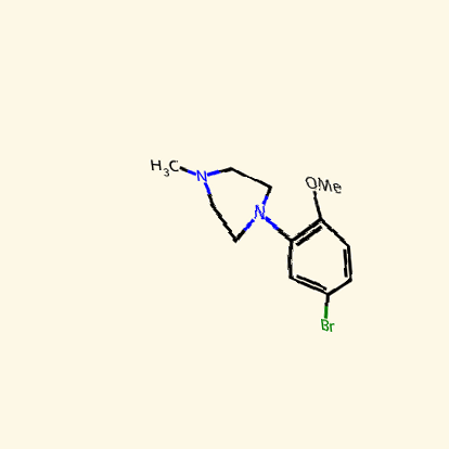 COc1ccc(Br)cc1N1CCN(C)CC1